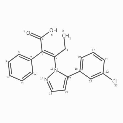 CCC(=C(C(=O)O)c1ccccc1)n1nccc1-c1cccc(Cl)c1